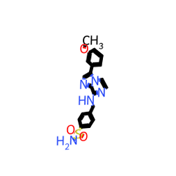 COc1cccc(-c2cnc3c(NCc4ccc(S(N)(=O)=O)cc4)nccn23)c1